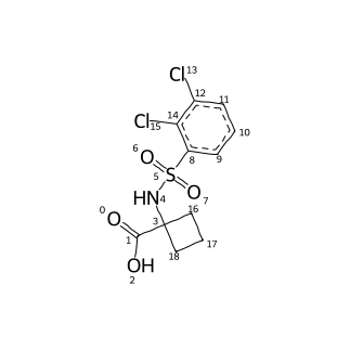 O=C(O)C1(NS(=O)(=O)c2cccc(Cl)c2Cl)CCC1